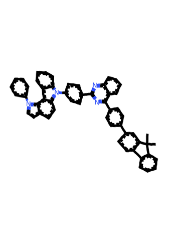 CC1(C)c2ccccc2-c2ccc(-c3ccc(-c4nc(-c5ccc(-n6c7ccccc7c7c8c(ccc76)ccn8-c6ccccc6)cc5)nc5ccccc45)cc3)cc21